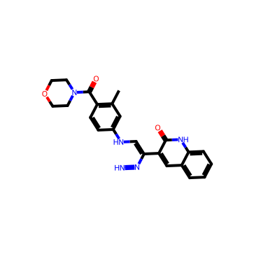 Cc1cc(N/C=C(\N=N)c2cc3ccccc3[nH]c2=O)ccc1C(=O)N1CCOCC1